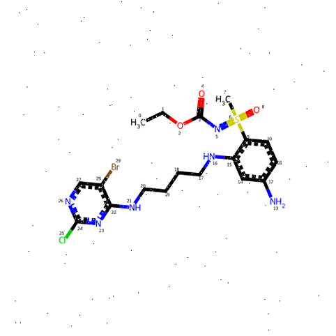 CCOC(=O)N=S(C)(=O)c1ccc(N)cc1NCCCCNc1nc(Cl)ncc1Br